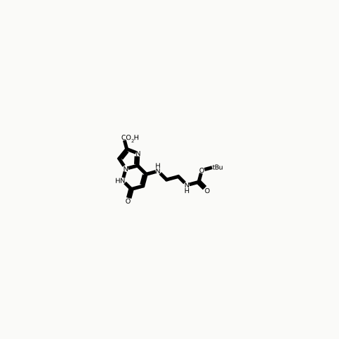 CC(C)(C)OC(=O)NCCNc1cc(=O)[nH]n2cc(C(=O)O)nc12